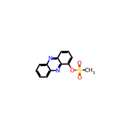 CS(=O)(=O)Oc1cccc2nc3ccccc3nc12